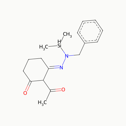 CC(=O)C1C(=O)CCCC1=NN(Cc1ccccc1)[SiH](C)C